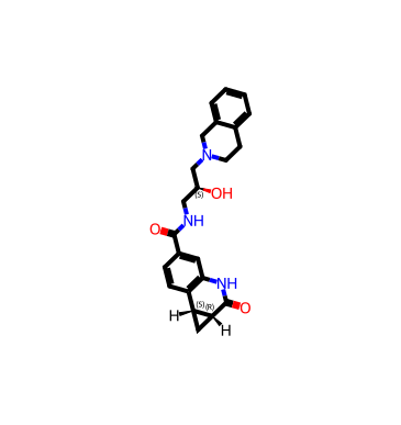 O=C(NC[C@H](O)CN1CCc2ccccc2C1)c1ccc2c(c1)NC(=O)[C@@H]1C[C@H]21